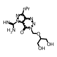 CCCc1nn(C(=N)N)c2c(=O)n(COC(CO)CO)nnc12